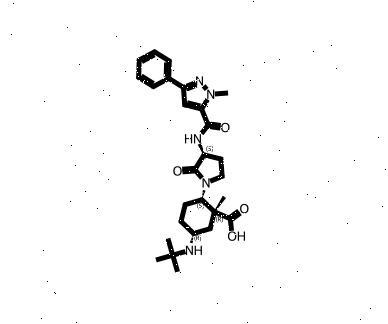 Cn1nc(-c2ccccc2)cc1C(=O)N[C@H]1CCN([C@H]2CC[C@@H](NC(C)(C)C)C[C@@]2(C)C(=O)O)C1=O